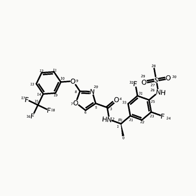 C[C@@H](NC(=O)c1coc(Oc2cccc(C(F)(F)F)c2)n1)c1cc(F)c(NS(C)(=O)=O)c(F)c1